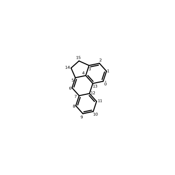 [c]1ccc2c3c(cc4ccccc4c13)CC2